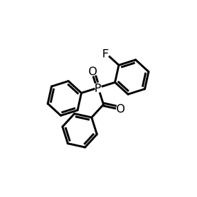 O=C(c1ccccc1)P(=O)(c1ccccc1)c1ccccc1F